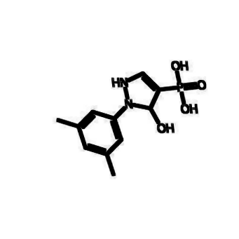 Cc1cc(C)cc(N2NC=C(P(=O)(O)O)C2O)c1